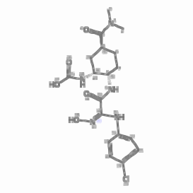 CN(C)C(=O)[C@H]1CC[C@H](NC(=O)/C(=N\O)Nc2ccc(Cl)cc2)[C@H](NC(=O)O)C1